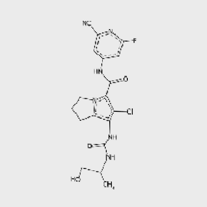 CC(CO)NC(=O)Nc1c(Cl)c(C(=O)Nc2cc(F)nc(C#N)c2)n2c1CCC2